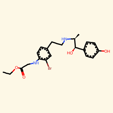 CCOC(=O)CNc1ccc(CCN[C@@H](C)[C@H](O)c2ccc(O)cc2)cc1Br